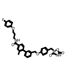 Cc1cc(C(=O)NCCCOc2ccc(F)cc2)ccc1-c1cccc(COc2ccc(Cn3oc(=O)[nH]c3=O)cc2)c1